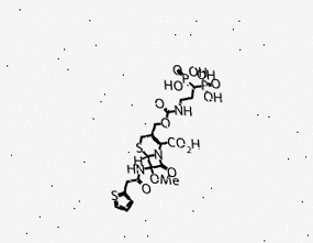 COC1(NC(=O)Cc2cccs2)C(=O)N2C(C(=O)O)=C(COC(=O)NCCC(P(=O)(O)O)P(=O)(O)O)CS[C@H]21